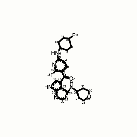 O=C(c1ccc(NC2CCC(F)CC2)nc1F)c1c[nH]c2ncnc(NC3CCOCC3)c12